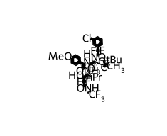 COc1ccc([C@H](NC(=O)[C@H](CO[Si](C)(C)C(C)(C)C)NC(=O)C(F)(F)c2cccc(Cl)c2)C(=O)N[C@@H](C(C)C)[C@@H](O)C(F)(F)C(=O)NCC(F)(F)F)cc1